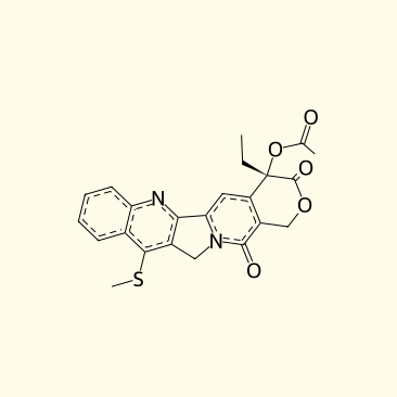 CC[C@@]1(OC(C)=O)C(=O)OCc2c1cc1n(c2=O)Cc2c-1nc1ccccc1c2SC